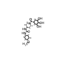 COc1ccc(NC(=O)NC2CCN(C(=O)c3cc(O)c(O)c(O)c3)CC2)cc1